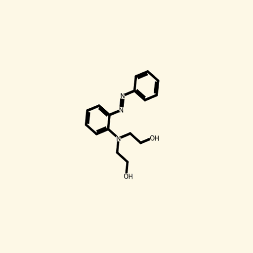 OCCN(CCO)c1ccccc1N=Nc1ccccc1